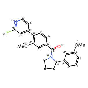 COc1cccc(C2CCCN2C(=O)c2ccc(-c3ccnc(F)c3)c(OC)c2)c1